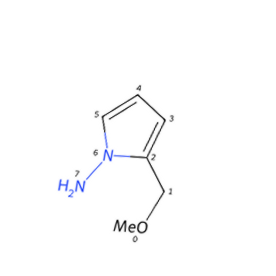 COCc1cccn1N